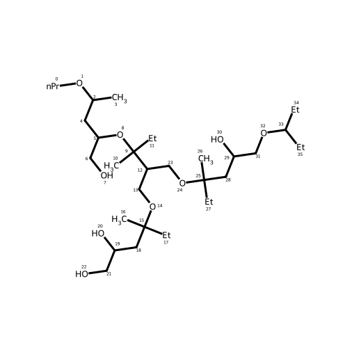 CCCOC(C)CC(CO)OC(C)(CC)C(COC(C)(CC)CC(O)CO)COC(C)(CC)CC(O)COC(CC)CC